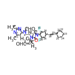 Cc1cc(N(C=O)CCN(C(=O)N(C)c2c(F)cc(C#Cc3ccccc3)cc2F)C(C)(C)CC=O)nc(C)n1